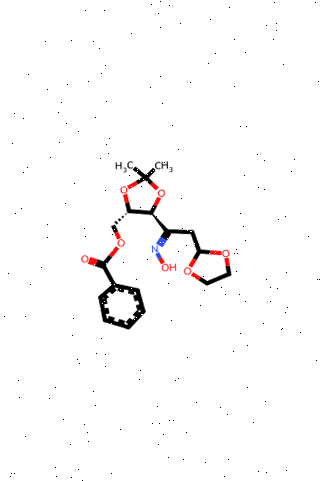 CC1(C)O[C@@H](COC(=O)c2ccccc2)[C@H](C(CC2OCCO2)=NO)O1